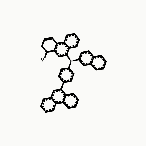 CC1CC=Cc2c1cc(N(c1ccc(-c3cc4ccccc4c4ccccc34)cc1)c1ccc3ccccc3c1)c1ccccc21